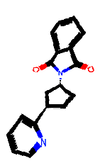 O=C1c2ccccc2C(=O)N1[C@@H]1CC[C@@H](c2ccccn2)C1